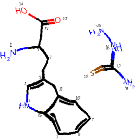 NC(Cc1c[nH]c2ccccc12)C(=O)O.NNC(N)=S